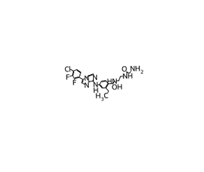 CCc1cc(Nc2nccn3c(-c4ccc(Cl)c(F)c4F)cnc23)ccc1C(O)NCCNC(=O)CN